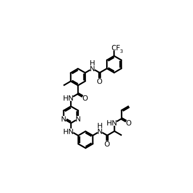 C=CC(=O)NC(C)C(=O)Nc1cccc(Nc2ncc(NC(=O)c3cc(NC(=O)c4cccc(C(F)(F)F)c4)ccc3C)cn2)c1